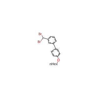 CCCCCCOc1ccc(-c2cccc(C(Br)Br)c2)cc1